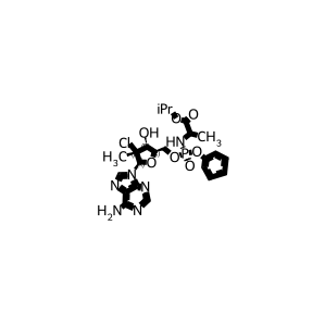 CC(C)OC(=O)C(C)NP(=O)(OC[C@H]1O[C@@H](n2cnc3c(N)ncnc32)[C@](C)(Cl)[C@@H]1O)Oc1ccccc1